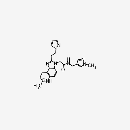 C[C@H]1CCc2c(ccc3c2nc(CCn2cccn2)n3CC(=O)NCc2cnn(C)c2)N1